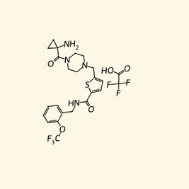 NC1(C(=O)N2CCN(Cc3ccc(C(=O)NCc4ccccc4OC(F)(F)F)s3)CC2)CC1.O=C(O)C(F)(F)F